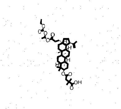 C=C(C)[C@@H]1CC[C@]2(CCC(=O)OC(C)OC(=O)OCC)CC[C@]3(C)[C@H](CC[C@@H]4[C@@]5(C)CC[C@H](OC(=O)CC(C)(C)C(=O)O)C(C)(C)[C@@H]5CC[C@]43C)[C@@H]12